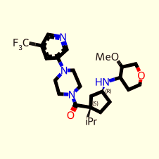 COC1COCCC1N[C@@H]1CC[C@@](C(=O)N2CCN(c3cncc(C(F)(F)F)c3)CC2)(C(C)C)C1